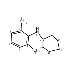 Cc1cccc(C)c1NN1CCCCC1